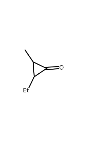 CCC1C(=O)C1C